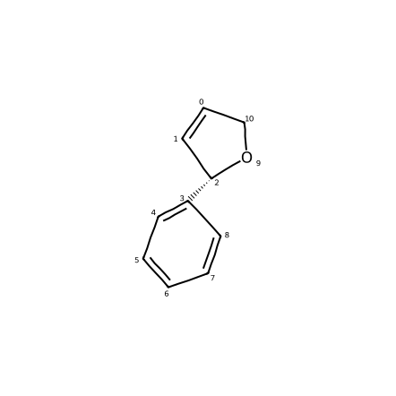 C1=C[C@@H](c2ccccc2)OC1